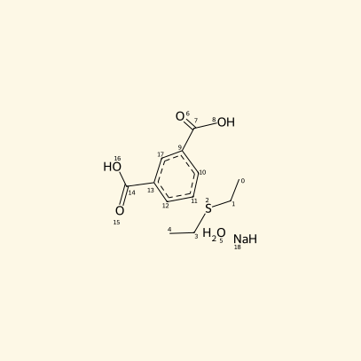 CCSCC.O.O=C(O)c1cccc(C(=O)O)c1.[NaH]